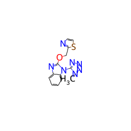 Cn1nnnc1-n1c(OCc2nccs2)nc2ccccc21